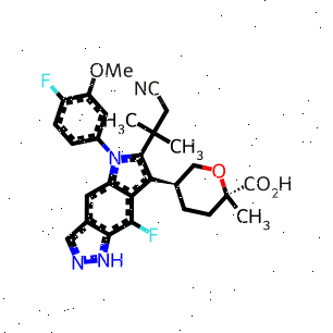 COc1cc(-n2c(C(C)(C)CC#N)c([C@@H]3CC[C@@](C)(C(=O)O)OC3)c3c(F)c4[nH]ncc4cc32)ccc1F